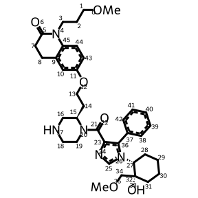 COCCCN1C(=O)CCc2cc(OCC[C@@H]3CNCCN3C(=O)c3ncn([C@@H]4CCCC[C@@]4(O)COC)c3-c3ccccc3)ccc21